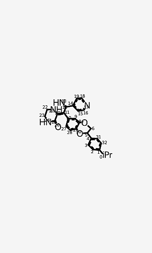 CC(C)c1ccc(C2COc3cc(/C(C(=N)c4ccncc4)=C4/NCCNC4=O)ccc3O2)cc1